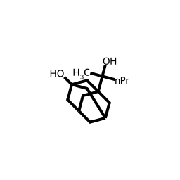 CCCC(C)(O)C12CC3CC(CC(O)(C3)C1)C2